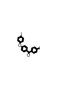 O=C(c1ccc(I)cc1)c1ccc(Oc2ccc(I)cc2)cc1